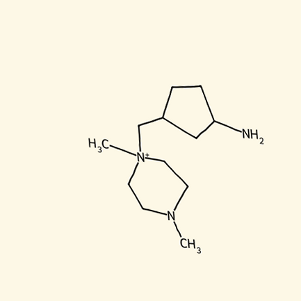 CN1CC[N+](C)(CC2CCC(N)C2)CC1